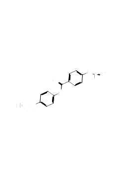 O=POc1ccc(C(=O)Oc2ccc(C(=O)O)cc2)cc1